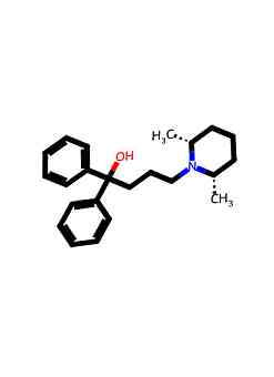 C[C@@H]1CCC[C@H](C)N1CCCC(O)(c1ccccc1)c1ccccc1